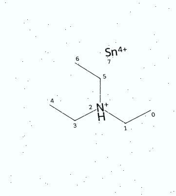 CC[NH+](CC)CC.[Sn+4]